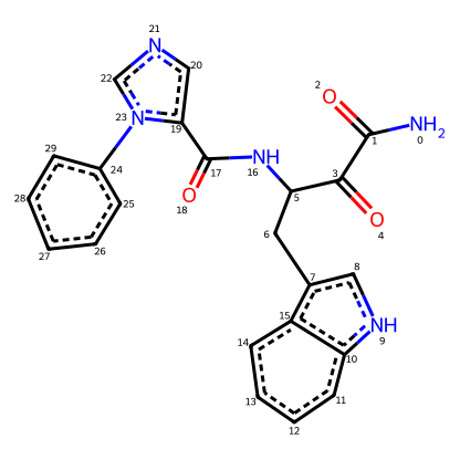 NC(=O)C(=O)C(Cc1c[nH]c2ccccc12)NC(=O)c1cncn1-c1ccccc1